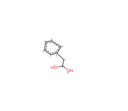 O[C](O)Cc1ccccc1